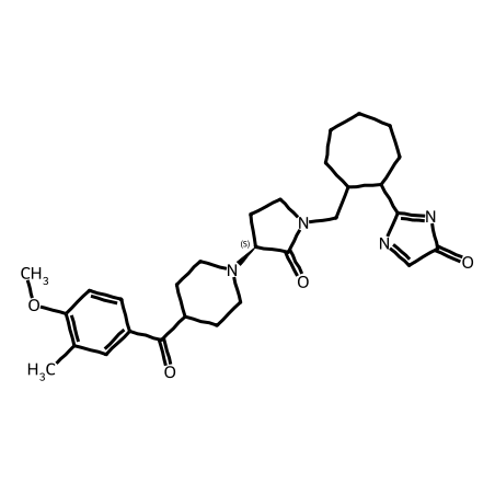 COc1ccc(C(=O)C2CCN([C@H]3CCN(CC4CCCCCC4C4=NC(=O)C=N4)C3=O)CC2)cc1C